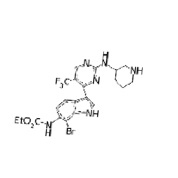 CCOC(=O)Nc1ccc2c(-c3nc(NC4CCCNC4)ncc3C(F)(F)F)c[nH]c2c1Br